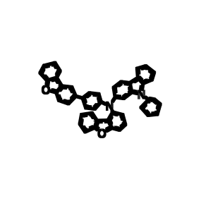 c1ccc(-n2c3ccccc3c3ccc(N(c4ccc(-c5ccc6oc7ccccc7c6c5)cc4)c4cccc5oc6ccccc6c45)cc32)cc1